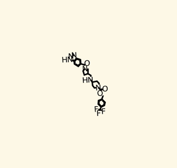 O=C(OCc1ccc(C(F)(F)F)cc1)N1CCC(NCC2CCN(C(=O)c3ccc4[nH]nnc4c3)C2)CC1